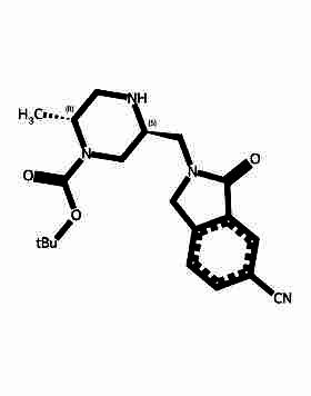 C[C@@H]1CN[C@@H](CN2Cc3ccc(C#N)cc3C2=O)CN1C(=O)OC(C)(C)C